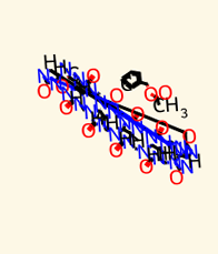 CC(=O)OCc1ccccc1.O=C1N2CN3C(=O)N4CN5C(=O)N6CN7C(=O)N8CN9C(=O)N%10CN%11C(=O)N%12CN1[C@H]1[C@@H]2N2CN%13C(=O)N(CN%14C(=O)N(CN%15C(=O)N(CN%16C(=O)N(CN%17C(=O)N(CN1C2=O)[C@H]%12[C@@H]%17%11)[C@H]%10[C@@H]%169)[C@H]8[C@@H]%157)[C@H]6[C@@H]%145)[C@H]4[C@@H]%133